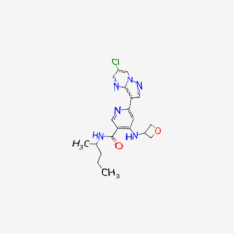 CCCC(C)NC(=O)c1cnc(-c2cnn3cc(Cl)cnc23)cc1NC1COC1